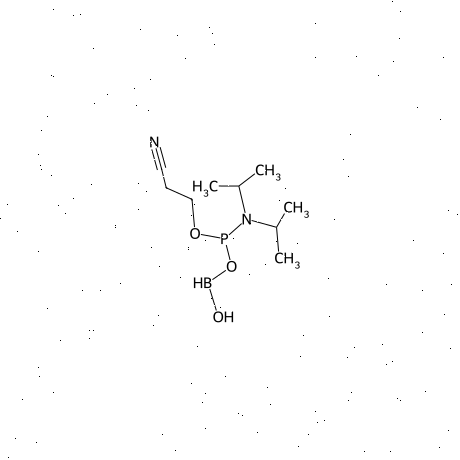 CC(C)N(C(C)C)P(OBO)OCCC#N